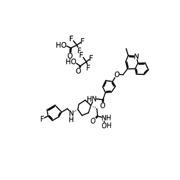 Cc1cc(COc2ccc(C(=O)N[C@]3(CC(=O)NO)CC[C@@H](NCc4ccc(F)cc4)CC3)cc2)c2ccccc2n1.O=C(O)C(F)(F)F.O=C(O)C(F)(F)F